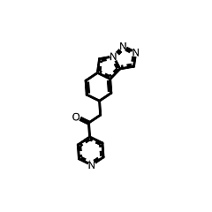 O=C(CC1C=Cc2cn3nncc3c2=C1)c1ccncc1